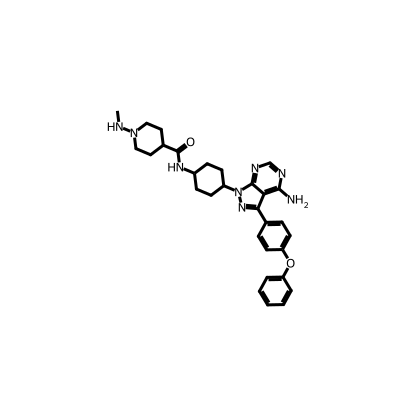 CNN1CCC(C(=O)NC2CCC(n3nc(-c4ccc(Oc5ccccc5)cc4)c4c(N)ncnc43)CC2)CC1